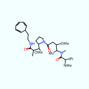 CCC(C)C(C(CC(=O)N1CCCC1C(OC)C(C)C(=O)NCCC1C=CC=CC=C1)OC)N(C)C(=O)C(NC)C(C)C